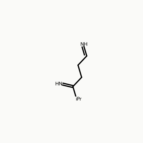 CC(C)C(=N)CCC=N